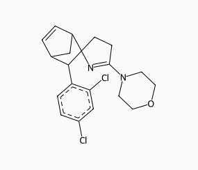 Clc1ccc(C2C3C=CC(C3)C23CCC(N2CCOCC2)=N3)c(Cl)c1